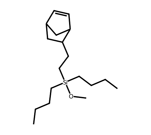 CCCC[Si](CCCC)(CCC1CC2C=CC1C2)OC